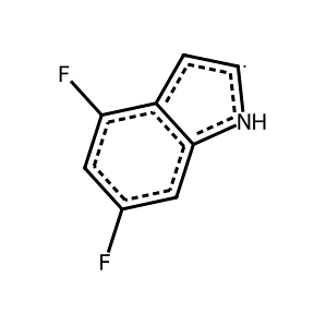 Fc1cc(F)c2c[c][nH]c2c1